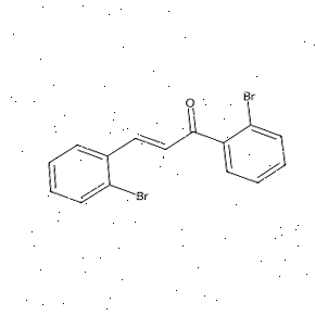 O=C(C=Cc1ccccc1Br)c1ccccc1Br